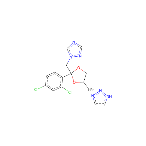 CCCC1COC(Cn2cncn2)(c2ccc(Cl)cc2Cl)O1.c1c[nH]nn1